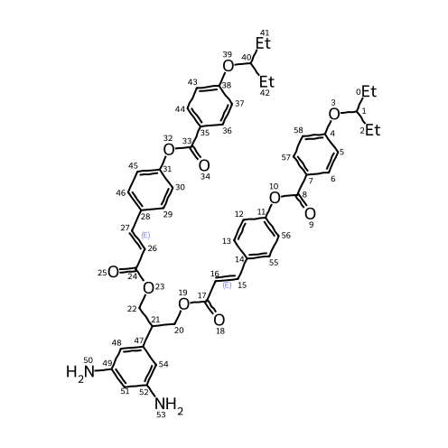 CCC(CC)Oc1ccc(C(=O)Oc2ccc(/C=C/C(=O)OCC(COC(=O)/C=C/c3ccc(OC(=O)c4ccc(OC(CC)CC)cc4)cc3)c3cc(N)cc(N)c3)cc2)cc1